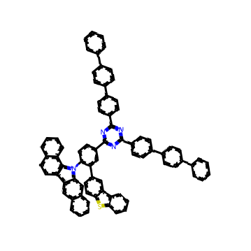 c1ccc(-c2ccc(-c3ccc(-c4nc(-c5ccc(-c6ccc(-c7ccccc7)cc6)cc5)nc(-c5ccc(-n6c7cc8ccccc8cc7c7ccc8ccccc8c76)c(-c6ccc7sc8ccccc8c7c6)c5)n4)cc3)cc2)cc1